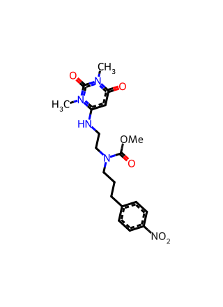 COC(=O)N(CCCc1ccc([N+](=O)[O-])cc1)CCNc1cc(=O)n(C)c(=O)n1C